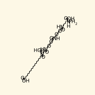 O=C(O)CCCCCCCCCCCCCCCCCCC(=O)N(CCC(=O)NCCOCCOCC(=O)NCCOCCOCC(=O)NCCCC[C@H](NP)C(=O)O)CC(=O)O